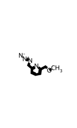 COCc1cccc(CN=[N+]=[N-])n1